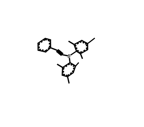 Cc1cc(C)c(B(C#Cc2ccccc2)c2c(C)cc(C)cc2C)c(C)c1